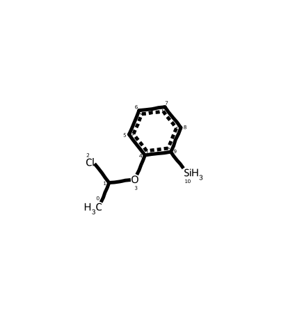 CC(Cl)Oc1ccccc1[SiH3]